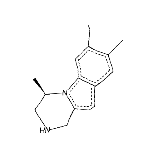 Cc1cc2cc3n(c2cc1C)[C@H](C)CNC3